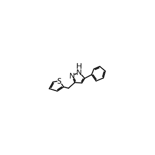 c1ccc(-c2cc(Cc3cccs3)n[nH]2)cc1